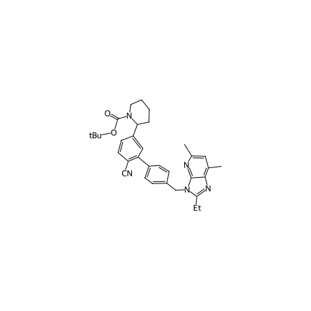 CCc1nc2c(C)cc(C)nc2n1Cc1ccc(-c2cc(C3CCCCN3C(=O)OC(C)(C)C)ccc2C#N)cc1